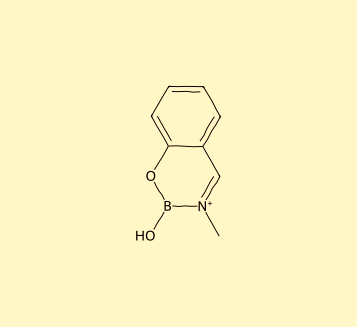 C[N+]1=Cc2ccccc2OB1O